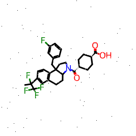 CC(F)(c1ccc2c(c1)CCC1N(C(=O)[C@H]3CC[C@H](C(=O)O)CC3)CCC21Cc1cccc(F)c1)C(F)(F)F